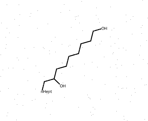 CCCCCCCCC(O)CCCCCCCO